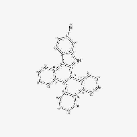 Brc1ccc2c(c1)[nH]c1c2c2ccccc2c2c3ccccc3c3ccccc3c12